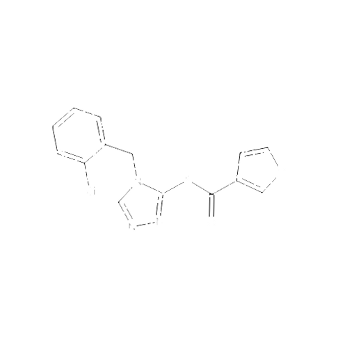 O=C(Sc1nncn1Cc1ccccc1Cl)c1ccoc1